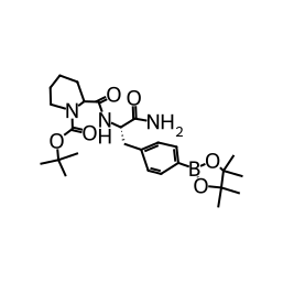 CC(C)(C)OC(=O)N1CCCCC1C(=O)N[C@@H](Cc1ccc(B2OC(C)(C)C(C)(C)O2)cc1)C(N)=O